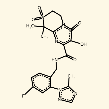 Cc1ncnn1-c1cc(F)ccc1CNC(=O)c1nc2n(c(=O)c1O)CCS(=O)(=O)C2(C)C